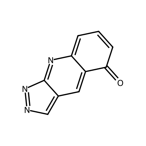 O=C1C=CC=c2nc3c(cc21)=CN=N3